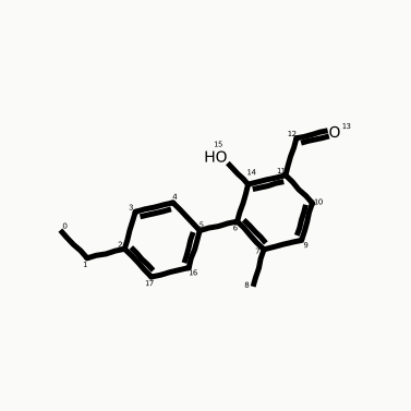 CCc1ccc(-c2c(C)ccc(C=O)c2O)cc1